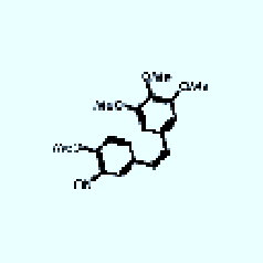 COc1ccc(/C=C\c2cc(OC)c(OC)c(OC)c2)cc1N=O